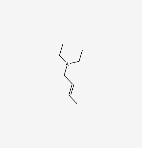 CC=C[CH2][Al]([CH2]C)[CH2]C